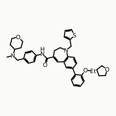 C1CCOC1.CCOc1ccccc1-c1ccc2c(c1)C=C(C(=O)Nc1ccc(CN(C)C3CCOCC3)cc1)CCN2Cc1cccs1